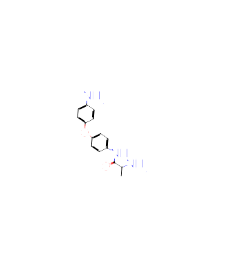 CC(N)C(=O)Nc1ccc(Oc2ccc(N)cc2)cc1